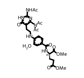 COC(=O)CC[C@@H](NC(=O)c1ccc(NCCc2c(N(C(C)=O)C(C)=O)nc(NC(C)=O)[nH]c2=O)cc1)C(=O)OC.O